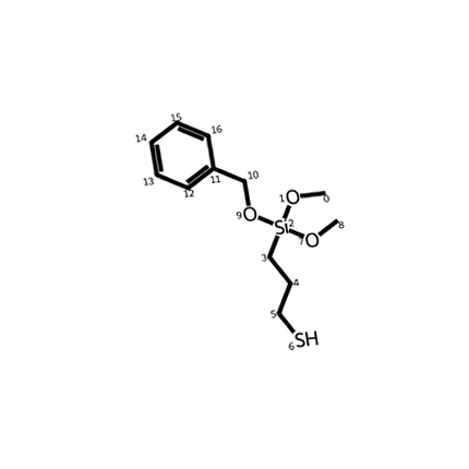 CO[Si](CCCS)(OC)OCc1ccccc1